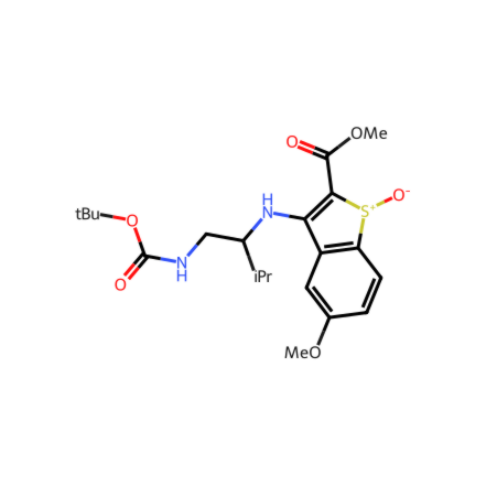 COC(=O)c1c(NC(CNC(=O)OC(C)(C)C)C(C)C)c2cc(OC)ccc2[s+]1[O-]